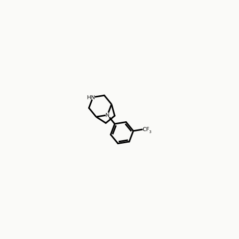 FC(F)(F)c1cccc(N2C3CCC2CNC3)c1